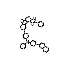 c1ccc(-c2nc3ccc4oc5ccc(-c6ccc(N(c7ccccc7)c7ccc(-c8ccc9ccccc9c8)cc7)cc6)cc5c4c3o2)cc1